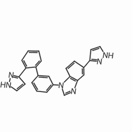 c1cc(-c2ccccc2-c2cc[nH]n2)cc(-n2cnc3cc(-c4cc[nH]n4)ccc32)c1